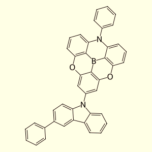 c1ccc(-c2ccc3c(c2)c2ccccc2n3-c2cc3c4c(c2)Oc2cccc5c2B4c2c(cccc2N5c2ccccc2)O3)cc1